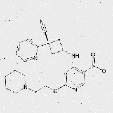 N#C[C@]1(c2ccccn2)C[C@@H](Nc2cc(OCCN3CCCCC3)ncc2[N+](=O)[O-])C1